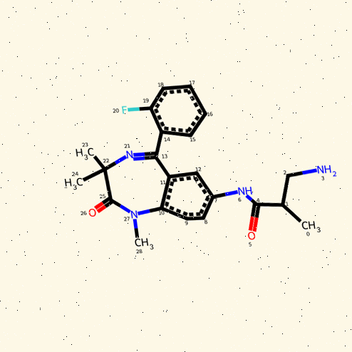 CC(CN)C(=O)Nc1ccc2c(c1)C(c1ccccc1F)=NC(C)(C)C(=O)N2C